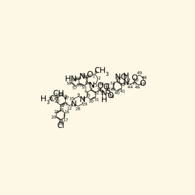 C[C@@H]1CCN(c2cc(N3CCN(CC4=C(c5ccc(Cl)cc5)CC(C)(C)CC4)CC3)ccc2C(=O)NS(=O)(=O)c2ccc(NC[C@@H]3COCCO3)c([N+](=O)[O-])c2)c2cc3cc[nH]c3nc2O1